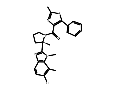 Cc1nc(C(=O)N2CCC[C@@]2(C)c2nc3ccc(Cl)c(C)c3n2C)c(-c2ccccc2)s1